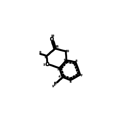 CC1Oc2c(F)cccc2CC1=O